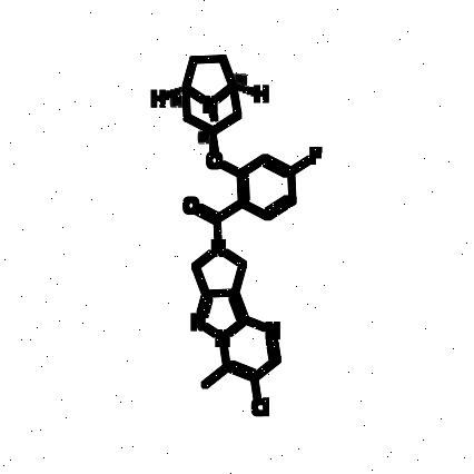 Cc1c(Cl)cnc2c3c(nn12)CN(C(=O)c1ccc(F)cc1O[C@H]1C[C@H]2CC[C@@H](C1)N2C)C3